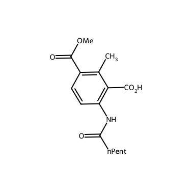 CCCCCC(=O)Nc1ccc(C(=O)OC)c(C)c1C(=O)O